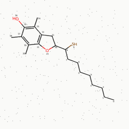 CCCCCCCCC(S)C1Cc2c(C)c(O)c(C)c(C)c2O1